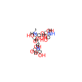 C=CCN1CC[C@]23c4c5ccc(O)c4O[C@H]2C(=O)CC[C@@]3(O)[C@H]1C5.O=C1CC[C@@]2(O)[C@H]3Cc4ccc(O)c5c4[C@@]2(CCN3)[C@H]1O5.O=C1CC[C@@]2(O)[C@H]3Cc4ccc(O)c5c4[C@@]2(CCN3CC2CC2)[C@H]1O5